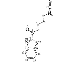 [O-][S+](/C=C/CCN=C=S)c1nc2ccccc2s1